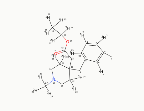 [2H]c1c([2H])c(C)c([2H])c(CC2(CC(=O)OC([2H])([2H])C([2H])([2H])[2H])C([2H])([2H])CN(C([2H])([2H])[2H])CC2([2H])[2H])c1[2H]